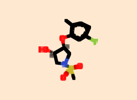 Cc1ccc(F)cc1O[C@H]1CN(S(C)(=O)=O)C[C@@H]1O